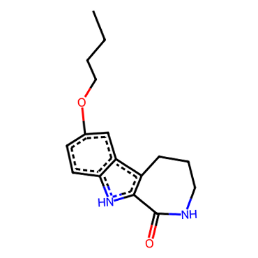 CCCCOc1ccc2[nH]c3c(c2c1)CCCNC3=O